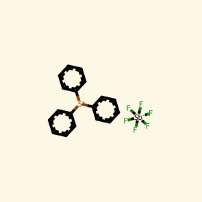 [F][Sb-]([F])([F])([F])([F])[F].c1ccc([S+](c2ccccc2)c2ccccc2)cc1